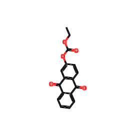 CCOC(=O)Oc1ccc2c(c1)C(=O)c1ccccc1C2=O